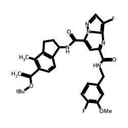 C=C(OC(C)(C)C)c1ccc2c(c1C)CCC2NC(=O)c1cc(C(=O)NCc2ccc(F)c(OC)c2)nc2c(F)cnn12